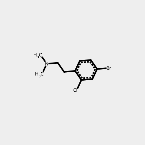 CN(C)CCc1ccc(Br)cc1Cl